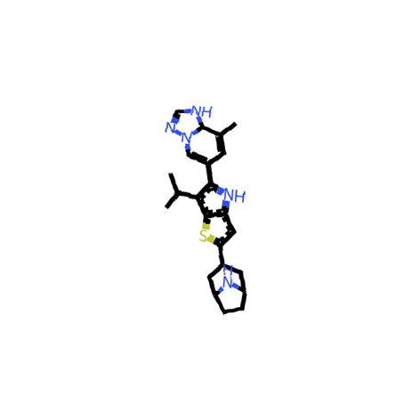 CC1=CC(c2[nH]c3cc(C4CC5CCC(C4)N5)sc3c2C(C)C)=CN2N=CNC12